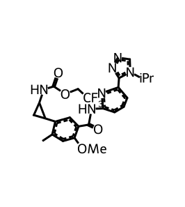 COc1cc(C)c(C2CC2NC(=O)OCC(F)(F)F)cc1C(=O)Nc1cccc(-c2nncn2C(C)C)n1